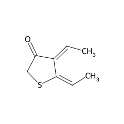 C/C=C1/C(=O)CS/C1=C/C